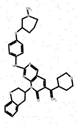 C=C(c1cc2cnc(Nc3ccc(OC4CCCN(C)C4)cc3)nc2n(C2CSc3ccccc3C2)c1=O)C1CCOCC1